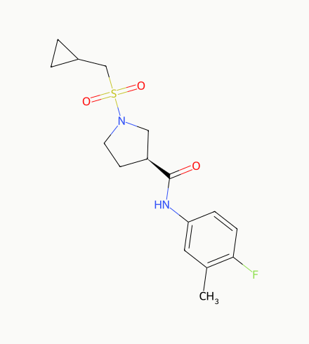 Cc1cc(NC(=O)[C@H]2CCN(S(=O)(=O)CC3CC3)C2)ccc1F